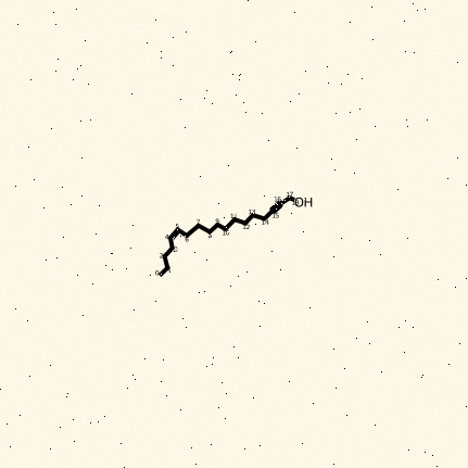 CCCC/C=C\CCCCCCCCCC#CCO